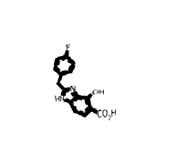 O=C(O)c1ccc2[nH]c(Cc3ccc(F)cc3)nc2c1O